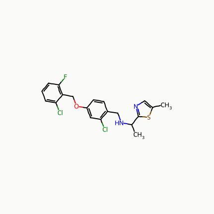 Cc1cnc(C(C)NCc2ccc(OCc3c(F)cccc3Cl)cc2Cl)s1